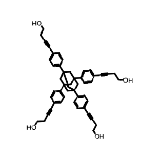 OCCC#Cc1ccc(C23CC4(c5ccc(C#CCCO)cc5)CC(c5ccc(C#CCCO)cc5)(C2)CC(c2ccc(C#CCCO)cc2)(C3)C4)cc1